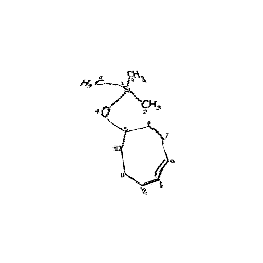 C[Si](C)(C)OC1CC/C=C\CCC1